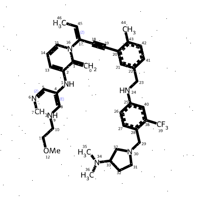 C=C1C(NC(/C=N\C)=C/NCCOC)=CC=CN1/C(C#Cc1cc(CNc2ccc(CN3CCC(N(C)C)C3)c(C(F)(F)F)c2)ccc1C)=C\C